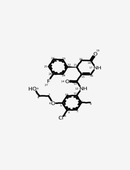 Cc1cc(Cl)c(OCCO)cc1NC(=O)C1=CNC(=O)C[C@@H]1c1cccc(F)c1